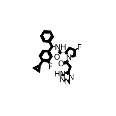 O=C(N[C@@H](c1ccccc1)c1ccc(C2CC2)c(F)c1)[C@@H]1C[C@@H](F)CN1C(=O)Cc1nnn[nH]1